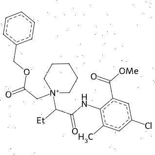 CCC(C(=O)Nc1c(C)cc(Cl)cc1C(=O)OC)[N+]1(CC(=O)OCc2ccccc2)CCCCC1